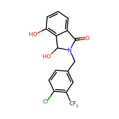 O=C1c2cccc(O)c2C(O)N1Cc1ccc(Cl)c(C(F)(F)F)c1